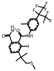 CSCC(C)(C)c1ccc(C(N)=O)c(C(=O)Nc2ccc(C(F)(C(F)(F)F)C(F)(F)F)cc2C)c1I